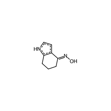 ON=C1CCCc2[nH]ccc21